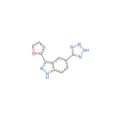 c1coc(-c2n[nH]c3ccc(-c4nn[nH]n4)cc23)c1